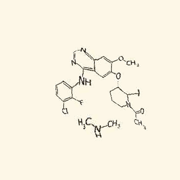 CNC.COc1cc2ncnc(Nc3cccc(Cl)c3F)c2cc1O[C@H]1CCCN(C(C)=O)C1I